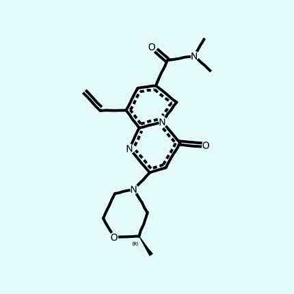 C=Cc1cc(C(=O)N(C)C)cn2c(=O)cc(N3CCO[C@H](C)C3)nc12